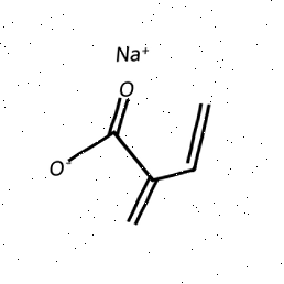 C=CC(=C)C(=O)[O-].[Na+]